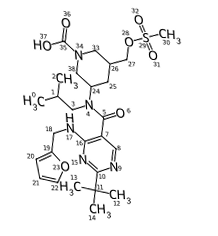 CC(C)CN(C(=O)c1cnc(C(C)(C)C)nc1NCc1ccco1)C1CC(COS(C)(=O)=O)CN(C(=O)O)C1